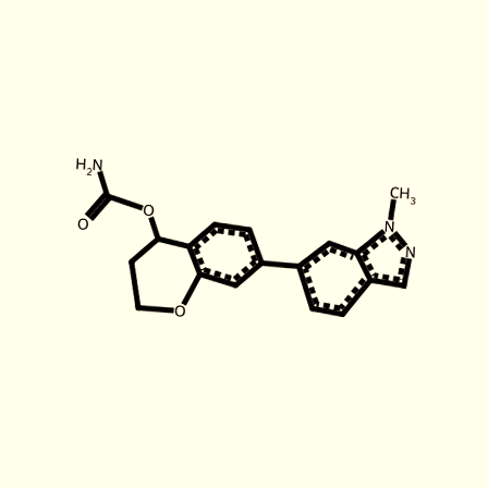 Cn1ncc2ccc(-c3ccc4c(c3)OCCC4OC(N)=O)cc21